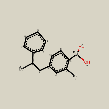 CCc1cc(CC(CC)c2ccccc2)ccc1B(O)O